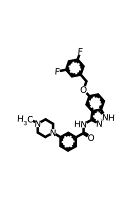 CN1CCN(c2cccc(C(=O)Nc3n[nH]c4ccc(OCc5cc(F)cc(F)c5)cc34)c2)CC1